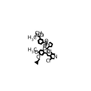 COc1ccc(C(Cc2c(Cl)cncc2Cl)OC(=O)C2CCCN2S(=O)(=O)c2cccc(C(=O)N(C)C)c2)cc1OCC1CC1